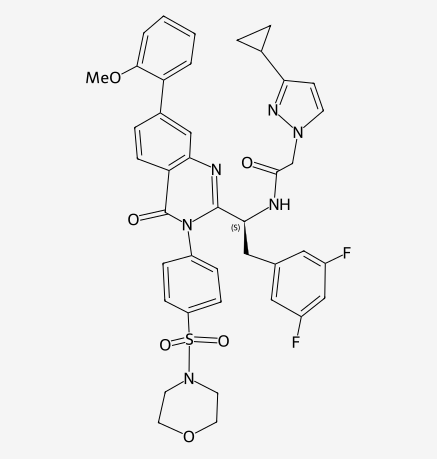 COc1ccccc1-c1ccc2c(=O)n(-c3ccc(S(=O)(=O)N4CCOCC4)cc3)c([C@H](Cc3cc(F)cc(F)c3)NC(=O)Cn3ccc(C4CC4)n3)nc2c1